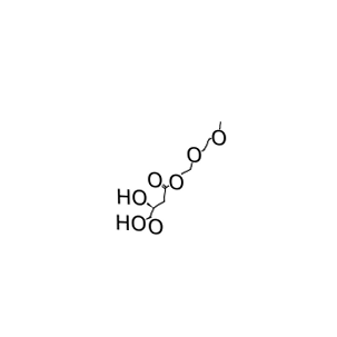 COCCOCCOC(=O)C[C@H](O)C(=O)O